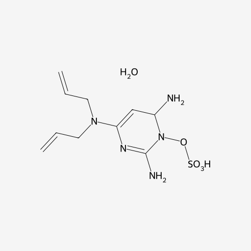 C=CCN(CC=C)C1=CC(N)N(OS(=O)(=O)O)C(N)=N1.O